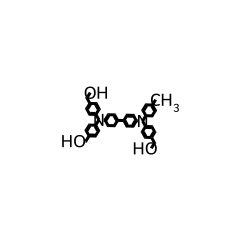 CC1=CCC(N(c2ccc(CO)cc2)c2ccc(C3=CC=C(N(c4ccc(CO)cc4)c4ccc(CO)cc4)CC3)cc2)C=C1